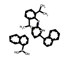 CC(C)c1cccc(C(C)C)c1/N=c1\cccc(-c2cccc3ccccc23)[nH]1.OB(O)c1cccc2ccccc12